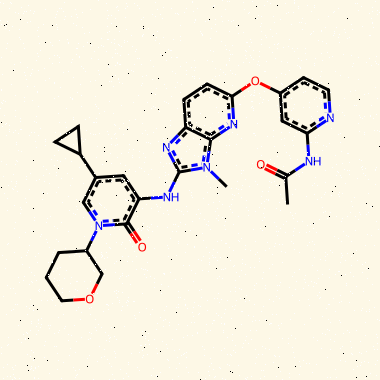 CC(=O)Nc1cc(Oc2ccc3nc(Nc4cc(C5CC5)cn(C5CCCOC5)c4=O)n(C)c3n2)ccn1